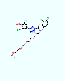 COCCOCCOCCOCCN(Cc1ccc(Cl)c(Cl)c1)C(=O)c1ncn(-c2cc(Cl)c(O)c(Cl)c2)n1